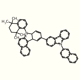 CC1(C)CCC(C)(C)c2c(N3c4ccc5ccccc5c4C4C=C(c5ccc6c(c5)c5ccccc5n6-c5ccc6ccccc6c5)C=CC43)cccc21